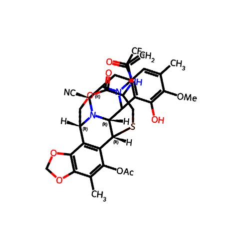 C=CCN1C2c3c(cc(C)c(OC)c3O)CC1[C@H](C#N)N1[C@H]2[C@@H]2SCC(NC(=O)C(F)(F)F)C(=O)OC[C@H]1c1c3c(c(C)c(OC(C)=O)c12)OCO3